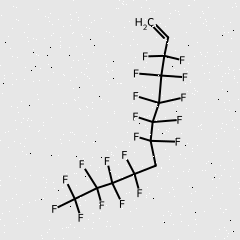 C=CC(F)(F)C(F)(F)C(F)(F)C(F)(F)C(F)(F)CC(F)(F)C(F)(F)C(F)(F)C(F)(F)F